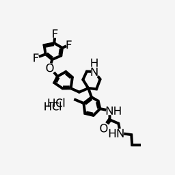 CCCNCC(=O)Nc1ccc(C)c(C2(Cc3ccc(Oc4cc(F)c(F)cc4F)cc3)CCNCC2)c1.Cl.Cl